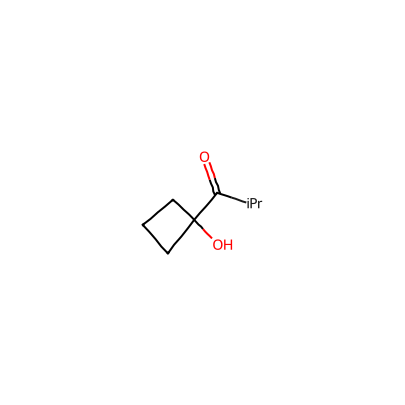 CC(C)C(=O)C1(O)CCC1